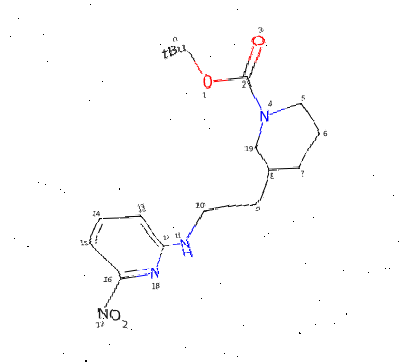 CC(C)(C)OC(=O)N1CCCC(CCNc2cccc([N+](=O)[O-])n2)C1